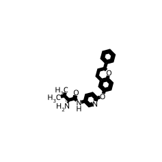 CC(C)[C@H](N)C(=O)Nc1ccc(Oc2ccc3c(c2)CCC(c2ccccc2)O3)nc1